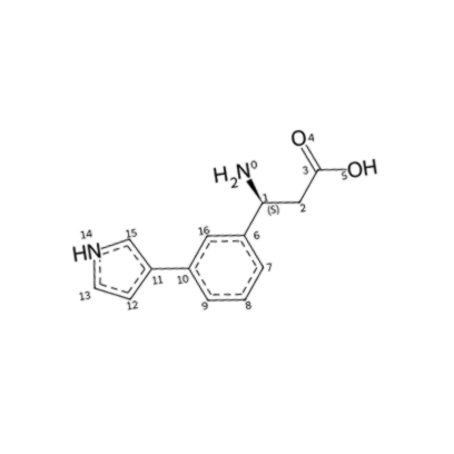 N[C@@H](CC(=O)O)c1cccc(-c2cc[nH]c2)c1